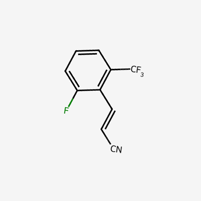 N#CC=Cc1c(F)cccc1C(F)(F)F